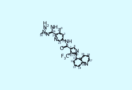 Cc1cc(NC(=O)c2cnn(-c3cccc4ncccc34)c2C(F)(F)F)cnc1/C(N)=N/N(C)N